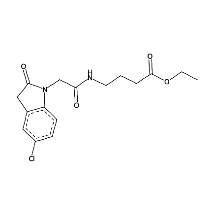 CCOC(=O)CCCNC(=O)CN1C(=O)Cc2cc(Cl)ccc21